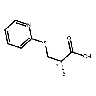 C[C@H](CSc1ccccn1)C(=O)O